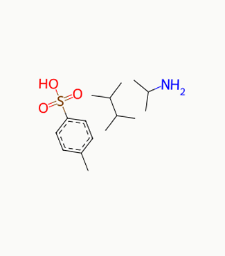 CC(C)C(C)C.CC(C)N.Cc1ccc(S(=O)(=O)O)cc1